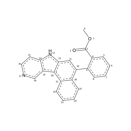 COC(=O)c1ccccc1-c1cc2[nH]c3ccncc3c2c2ccccc12